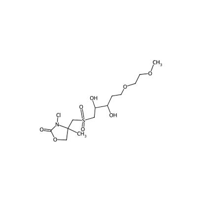 COCCOCCC(O)C(O)CS(=O)(=O)CC1(C)COC(=O)N1Cl